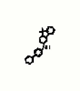 CC1(C)C2=C(C=C(Nc3ccc(C4C=CC=CC4)cc3)CC2)c2ccccc21